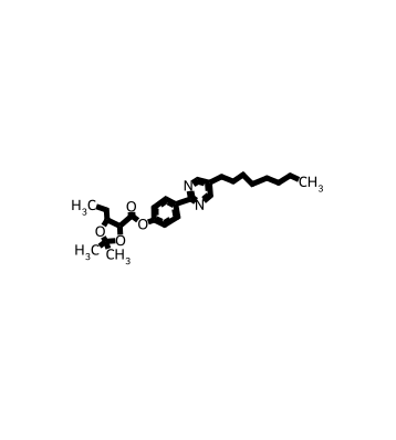 CCCCCCCCc1cnc(-c2ccc(OC(=O)C3OC(C)(C)OC3CC)cc2)nc1